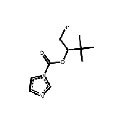 CC(C)(C)C(CBr)OC(=O)n1ccnc1